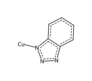 [Cu][n]1nnc2ccccc21